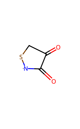 O=C1CS[N]C1=O